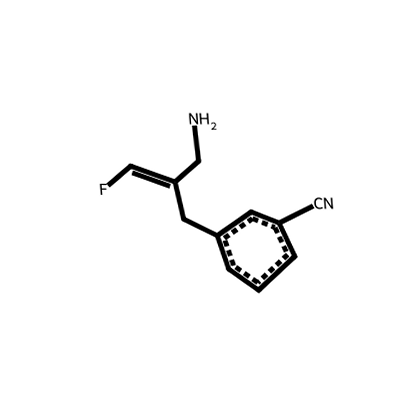 N#Cc1cccc(C/C(=C\F)CN)c1